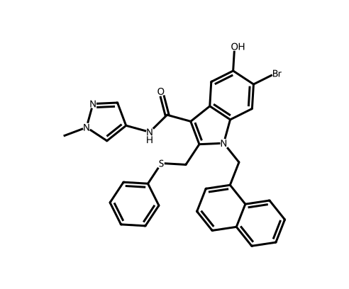 Cn1cc(NC(=O)c2c(CSc3ccccc3)n(Cc3cccc4ccccc34)c3cc(Br)c(O)cc23)cn1